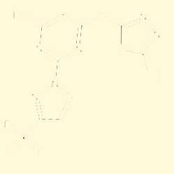 Cc1cc(Sc2nnc(C)s2)nc(-n2ccc(C(F)(F)F)n2)n1